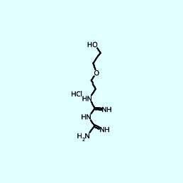 Cl.N=C(N)NC(=N)NCCOCCO